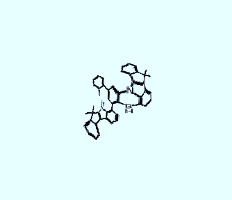 Cc1ccccc1-c1cc(-c2cccc3c4c([nH]c23)C(C)(C)c2ccccc2-4)c2c(c1)-n1c3c(c4cccc(c41)B2)C(C)(C)c1ccccc1-3